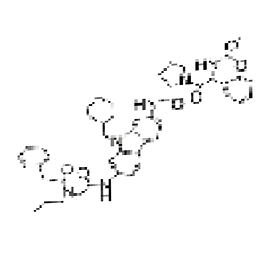 CCCN(CC(=O)Nc1ccc2c3ccc(NC(=O)[C@@H]4CCCN4C(=O)[C@H](NC(=O)OC)c4ccccc4)cc3n(CC3CCCCC3)c2c1)C(=O)Cc1ccccc1